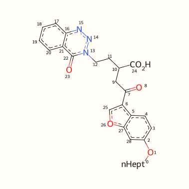 CCCCCCCOc1ccc2c(C(=O)CC(CCn3nnc4ccccc4c3=O)C(=O)O)coc2c1